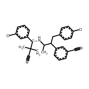 CC(N[C@@H](c1cccc(Cl)c1)C(C)(C)C#N)C(Cc1ccc(Cl)cc1)c1cccc(C#N)c1